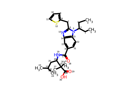 CCC(CC)n1c(Cc2cccs2)nc2cc(C(=O)NC(CC(C)C)C(C)(C)C(=O)O)ccc21